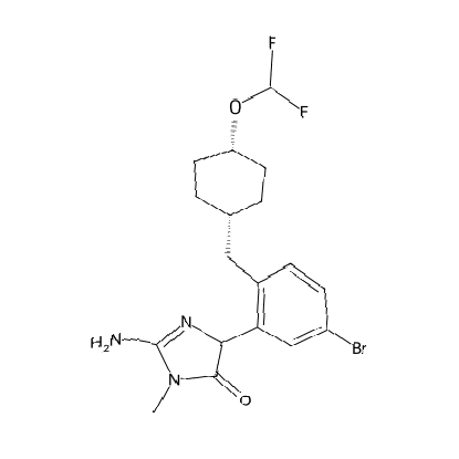 CN1C(=O)C(c2cc(Br)ccc2C[C@H]2CC[C@@H](OC(F)F)CC2)N=C1N